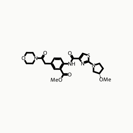 COC(=O)c1cc(CC(=O)N2CCOCC2)ccc1NC(=O)c1csc(N2CC[C@H](OC)C2)n1